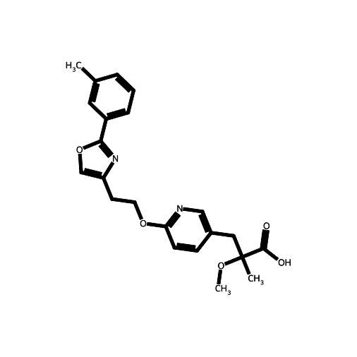 COC(C)(Cc1ccc(OCCc2coc(-c3cccc(C)c3)n2)nc1)C(=O)O